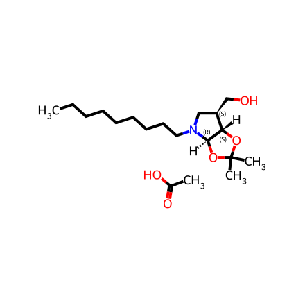 CC(=O)O.CCCCCCCCCN1C[C@@H](CO)[C@@H]2OC(C)(C)O[C@H]21